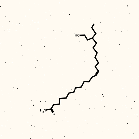 CCCC(CCO)CCCCCC/C=C\CCCCCCCCCCCC(N)=O